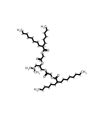 CCCCCCCCC(CCCCCC)C(=O)OCC(=O)OCC(CN(C)C)OC(=O)COC(=O)C(CCCCCC)CCCCCCCC